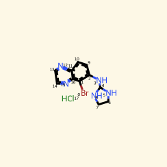 Brc1c(NC2NCCN2)ccc2nccnc12.Cl